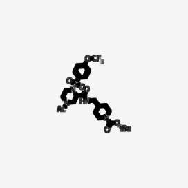 CC(=O)N1CCN(S(=O)(=O)c2ccc(OC(F)(F)F)cc2)C(C(=O)NCC2CCN(C(=O)OC(C)(C)C)CC2)C1